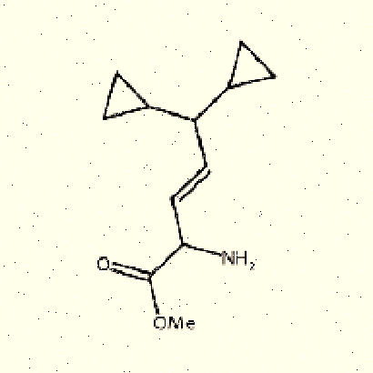 COC(=O)C(N)/C=C/C(C1CC1)C1CC1